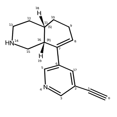 C#Cc1cncc(C2=CCC[C@H]3CCNC[C@@H]23)c1